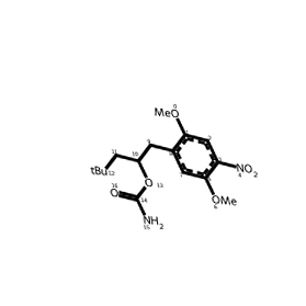 COc1cc([N+](=O)[O-])c(OC)cc1CC(CC(C)(C)C)OC(N)=O